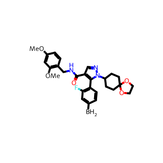 Bc1ccc(-c2c(C(=O)NCc3ccc(OC)cc3OC)cnn2C2CCC3(CC2)OCCO3)c(F)c1